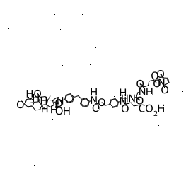 C[C@]12C=CC(=O)C=C1CC[C@@H]1[C@@H]2[C@@H](O)C[C@@]2(C)[C@H]1C[C@H]1CN(c3ccc(Cc4cccc(NC(=O)OCc5ccc(NC(=O)[C@H](CCC(=O)O)NC(=O)CNC(=O)CCC(=O)ON6C(=O)C=CC6=O)cc5)c4)cc3)C[C@]12C(=O)CO